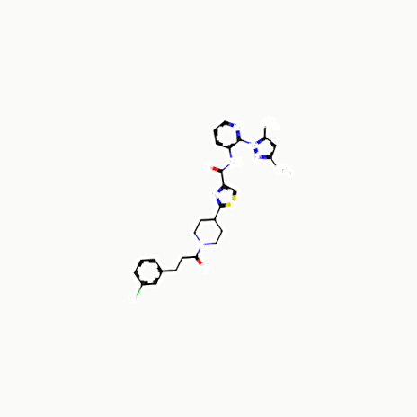 Cc1cc(C)n(-c2ncccc2NC(=O)c2csc(C3CCN(C(=O)CCc4cccc(Cl)c4)CC3)n2)n1